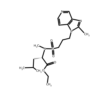 CCOC(=O)[C@H](CC(C)C)N(C)S(=O)(=O)CCCn1c(C)nc2cnccc21